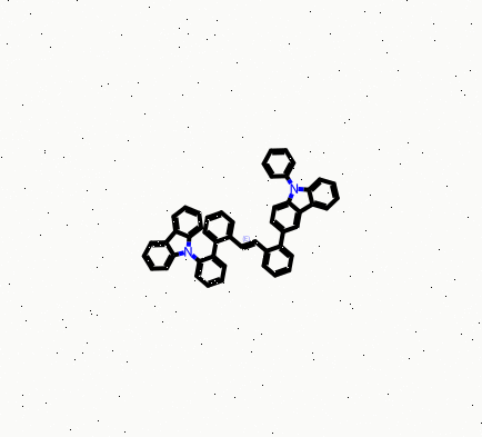 C(=C\c1ccccc1-c1ccccc1-n1c2ccccc2c2ccccc21)/c1ccccc1-c1ccc2c(c1)c1ccccc1n2-c1ccccc1